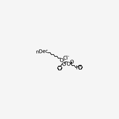 CCCCCCCCCCCCCCCCCCOC[C@H](COC(=O)CCC[n+]1ccccc1)OCc1ccccc1.[Cl-]